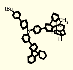 C[C@H]1CC2C[C@@H]3C[C@@H](C23)[C@@]12c1ccccc1-c1cc(-c3ccc(N(c4ccc(-c5ccc(C(C)(C)C)cc5)cc4)c4cccc(-c5ccc6c(c5)-c5ccccc5C65CCCCC5)c4)cc3)ccc12